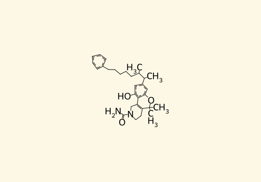 CC(CCCCCc1ccccc1)C(C)c1cc(O)c2c(c1)OC(C)(C)C1=C2CN(C(N)=O)CC1